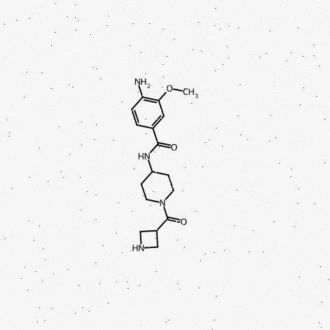 COc1cc(C(=O)NC2CCN(C(=O)C3CNC3)CC2)ccc1N